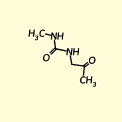 CNC(=O)NCC(C)=O